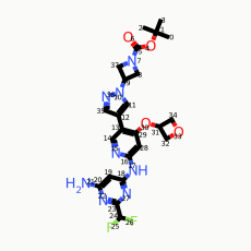 CC(C)(C)OC(=O)N1CC(n2cc(-c3cnc(Nc4cc(N)nc(C(F)F)n4)cc3OC3COC3)cn2)C1